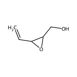 C=CC1OC1CO